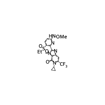 CCS(=O)(=O)c1ccc(NOC)nc1-c1nc2cc(C(F)(F)F)n(C3CC3)c(=O)c2n1C